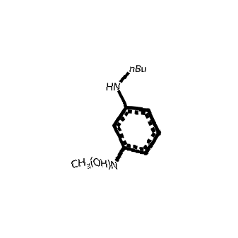 CCCCNc1cccc(N(C)O)c1